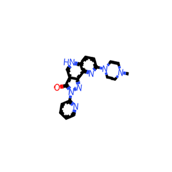 CN1CCN(c2ccc3[nH]cc4c(=O)n(-c5ccccn5)nc-4c3n2)CC1